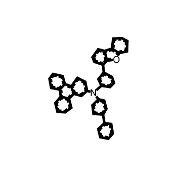 c1ccc(-c2ccc(N(c3cccc(-c4cccc5c4oc4ccccc45)c3)c3ccc4c5ccccc5c5ccccc5c4c3)cc2)cc1